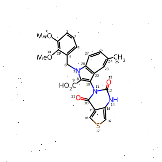 COc1cccc(Cn2c(C(=O)O)c(-n3c(=O)[nH]c4cscc4c3=O)c3cc(C)ccc32)c1OC